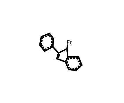 CCC1C(c2ccccc2)=[C]c2ccccc21